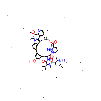 CCn1c(-c2cccnc2[C@H](C)OC)c2c3cc(ccc31)-c1cc(O)cc(c1)C[C@H](NC(=O)C(C(C)C)N(C)C(=O)[C@H]1CCCN[C@@H]1C)C(=O)N1CCC[C@H](N1)C(=O)OCC(C)(C)C2